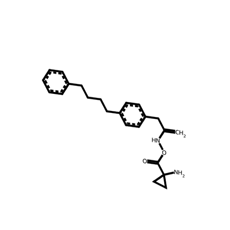 C=C(Cc1ccc(CCCCc2ccccc2)cc1)NOC(=O)C1(N)CC1